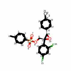 Cc1ccc(S(=O)(=O)OC[C@]2(c3ccc(F)cc3F)O[C@H]2c2ccc(C(F)(F)F)cc2)cc1